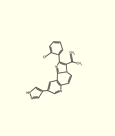 C=C(C)c1c(-c2ccccc2Cl)nc2c3cc(-c4cn[nH]c4)cnc3ccn12